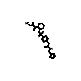 N#CCNC(=O)C1CCCCC1CS(=O)(=O)c1ccc(CC(=O)NCc2ccco2)cc1